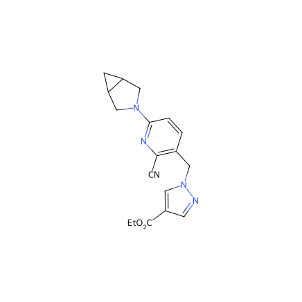 CCOC(=O)c1cnn(Cc2ccc(N3CC4CC4C3)nc2C#N)c1